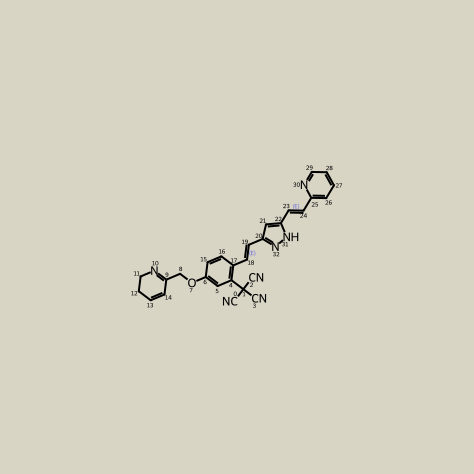 N#CC(C#N)(C#N)c1cc(OCC2=NCCC=C2)ccc1/C=C/c1cc(/C=C/c2ccccn2)[nH]n1